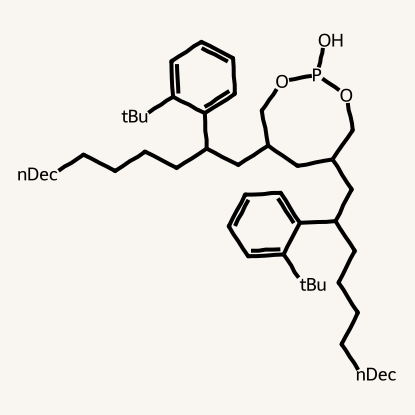 CCCCCCCCCCCCCCC(CC1COP(O)OCC(CC(CCCCCCCCCCCCCC)c2ccccc2C(C)(C)C)C1)c1ccccc1C(C)(C)C